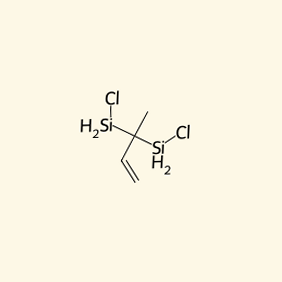 C=CC(C)([SiH2]Cl)[SiH2]Cl